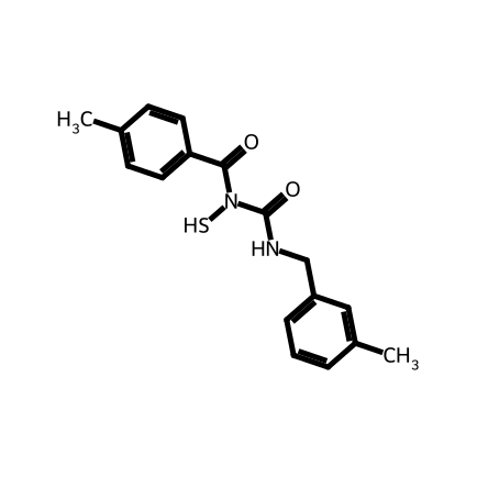 Cc1ccc(C(=O)N(S)C(=O)NCc2cccc(C)c2)cc1